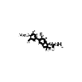 COc1c(C)cc(-c2cc3c(cc2F)C(OC(N)=O)C(C)(C)C3)cc1C